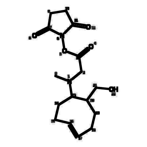 CN(CC(=O)ON1C(=O)CCC1=O)C1CC/C=C/CCC1CO